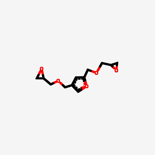 c1oc(COCC2CO2)cc1COCC1CO1